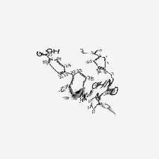 CC(C)c1ccc(CNC(=O)N2CCC[C@@H]2C(=O)Nc2ccc(-c3ccc(C(=O)O)cc3)cc2)cc1